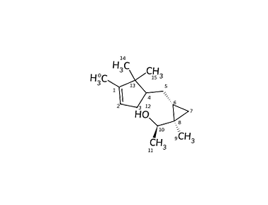 CC1=CCC(C[C@@H]2C[C@@]2(C)[C@@H](C)O)C1(C)C